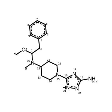 COC(Cc1ccccc1)N(C)C1CCN(c2nc(N)n[nH]2)CC1